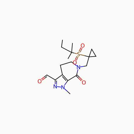 CCC(C)(C)S(=O)(=O)C1(CN2CCc3c(C=O)nn(C)c3C2=O)CC1